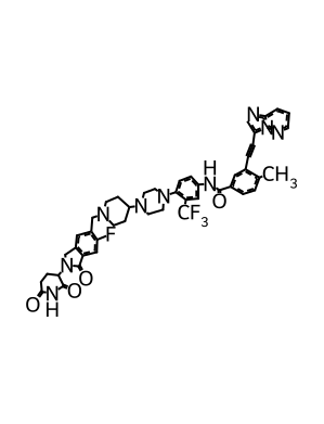 Cc1ccc(C(=O)Nc2ccc(N3CCN(C4CCN(Cc5cc6c(cc5F)C(=O)N(C5CCC(=O)NC5=O)C6)CC4)CC3)c(C(F)(F)F)c2)cc1C#Cc1cnc2cccnn12